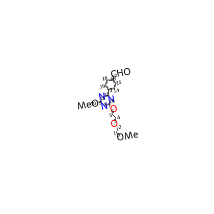 COCCOCCOc1nc(OC)nc(-c2ccc(C=O)cc2)n1